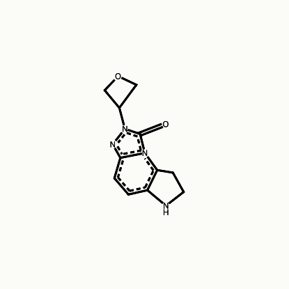 O=c1n(C2COC2)nc2ccc3c(n12)CCN3